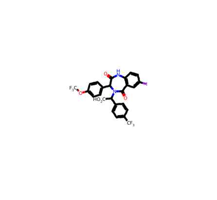 O=C(O)C(c1ccc(C(F)(F)F)cc1)N1C(=O)c2cc(I)ccc2NC(=O)C1c1ccc(OC(F)(F)F)cc1